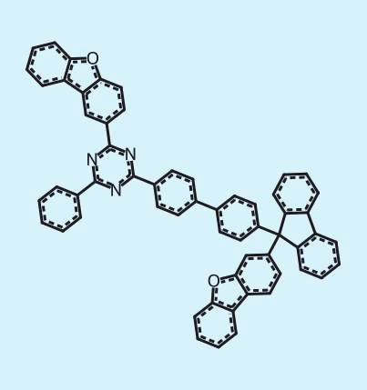 c1ccc(-c2nc(-c3ccc(-c4ccc(C5(c6ccc7c(c6)oc6ccccc67)c6ccccc6-c6ccccc65)cc4)cc3)nc(-c3ccc4oc5ccccc5c4c3)n2)cc1